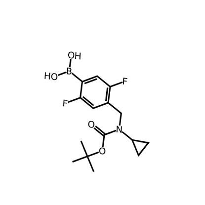 CC(C)(C)OC(=O)N(Cc1cc(F)c(B(O)O)cc1F)C1CC1